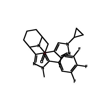 Cc1nn(C2CC2)cc1C(=O)N1C2CCCC1c1nn(C)c(-c3cc(F)c(F)c(F)c3)c1C2